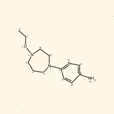 CCON1CCCN(c2ccc(N)cn2)CC1